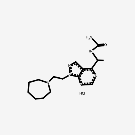 CC(NC(N)=O)c1ncnc2c1cnn2CCN1CCCCCC1.Cl